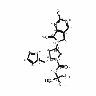 CC(C)(C)OC(=O)N1C[C@H](N2Cc3cnc(Cl)nc3C2=O)C[C@H]1Cn1cccn1